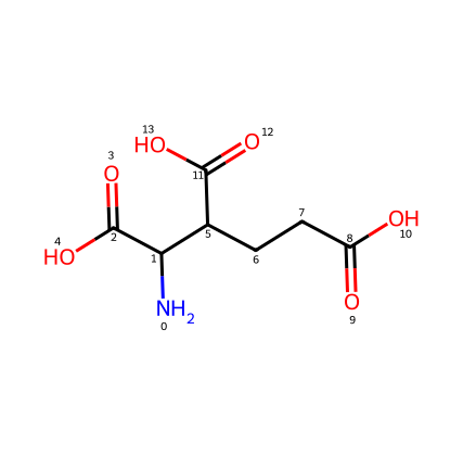 NC(C(=O)O)C(CCC(=O)O)C(=O)O